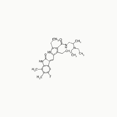 CCc1[nH]c(/C=C2\C(=O)Nc3c2cc(F)c(C)c3C)c(CC)c1C(=O)NCC(C)N(CC)CC